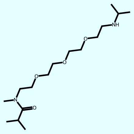 CC(C)NCCOCCOCCOCCN(C)C(=O)C(C)C